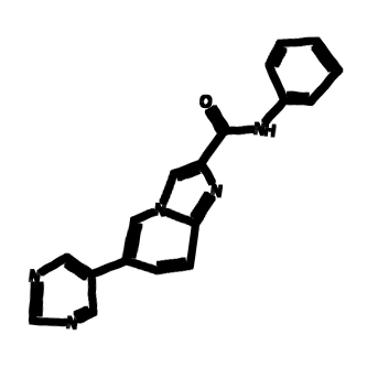 O=C(Nc1ccccc1)c1cn2cc(-c3cncnc3)ccc2n1